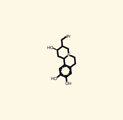 CC(C)CC1CN2CCc3cc(O)c(O)cc3C2C[C@H]1O